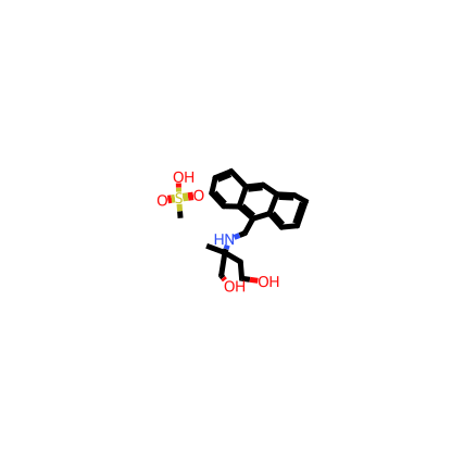 CC(CO)(CCO)NCc1c2ccccc2cc2ccccc12.CS(=O)(=O)O